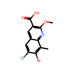 COc1nc2c(C)c(Br)c(Cl)cc2cc1C(=O)O